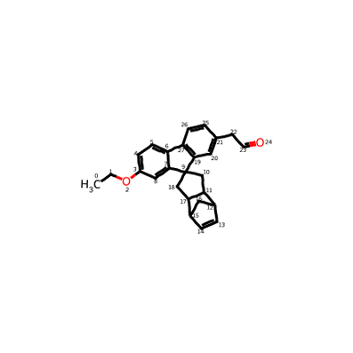 CCOc1ccc2c(c1)C1(CC3C4C=CC(C4)C3C1)c1cc(CC=O)ccc1-2